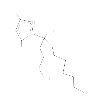 CCCCCCCC(C)(CCCC)n1nc(F)cc1Cl